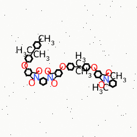 Cc1ccc(C(C)(C)c2ccc(Oc3ccc4c(c3)C(=O)N(c3cccc(N5C(=O)c6ccc(Oc7ccc(C(C)(C)c8ccc(Oc9ccc%10c(c9)C(=O)N(c9c(C)cccc9C)C%10=O)cc8)cc7)cc6C5=O)c3)C4=O)cc2)cc1